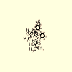 CCC(C)CN(C[C@@H](O)[C@H](Cc1ccccc1)NC(=O)C(O)C(C)C)S(=O)(=O)c1ccc2ncsc2c1